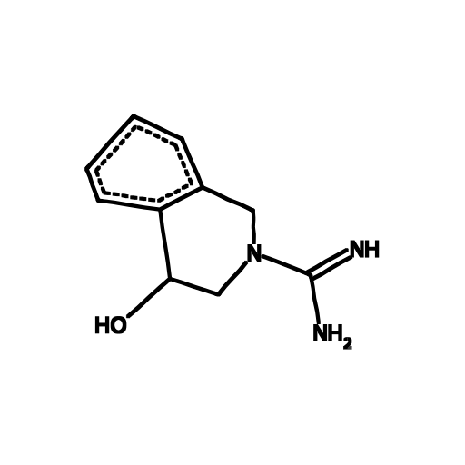 N=C(N)N1Cc2ccccc2C(O)C1